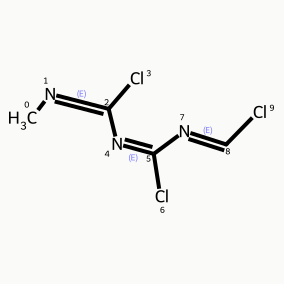 C\N=C(Cl)/N=C(Cl)\N=C\Cl